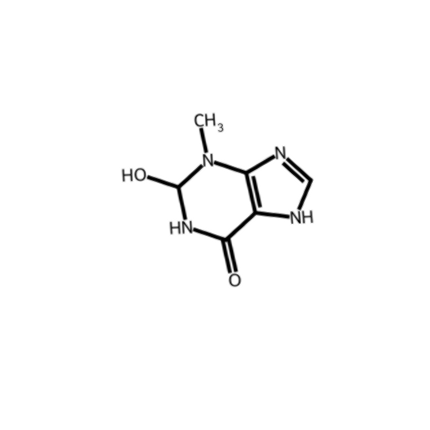 CN1c2nc[nH]c2C(=O)NC1O